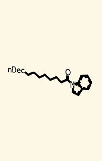 CCCCCCCCCCCCCCCCCC(=O)n1ccc2ccccc21